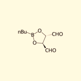 CCCCB1O[C@H](C=O)[C@@H](C=O)O1